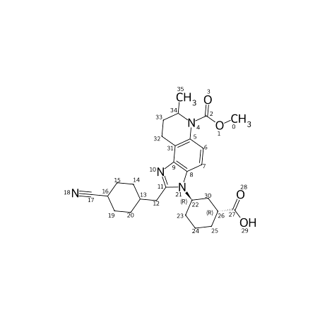 COC(=O)N1c2ccc3c(nc(CC4CCC(C#N)CC4)n3[C@@H]3CCC[C@@H](C(=O)O)C3)c2CCC1C